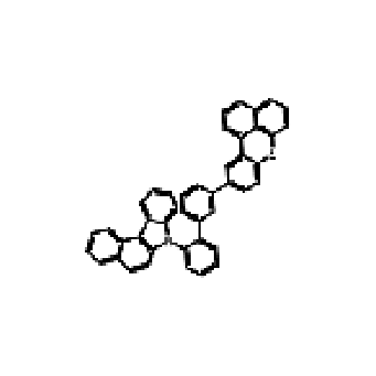 c1cc(-c2ccc3c(c2)-c2cccc4cccc(c24)S3)cc(-c2ccccc2-n2c3ccccc3c3c4ccccc4ccc32)c1